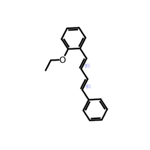 CCOc1ccccc1/C=C/C=C/c1ccccc1